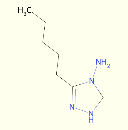 CCCCCC1=NNCN1N